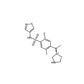 Cc1cc(S(=O)(=O)Nc2cnsc2)c(F)cc1N(C)[C@H]1CCNC1